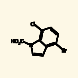 O=C(O)n1ccc2c(Br)ccc(Cl)c21